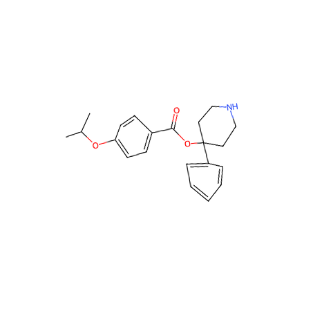 CC(C)Oc1ccc(C(=O)OC2(c3ccccc3)CCNCC2)cc1